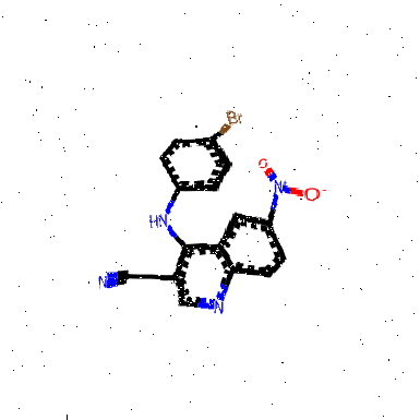 N#Cc1cnc2ccc([N+](=O)[O-])cc2c1Nc1ccc(Br)cc1